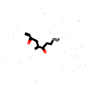 C=CC(=O)CC(C)C(=O)CCC(=O)O